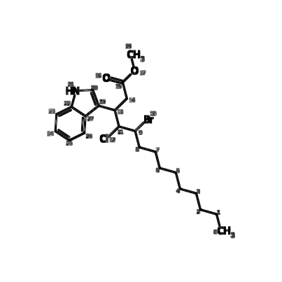 CCCCCCCCCC(Br)C(Cl)C(CC(=O)OC)c1c[nH]c2ccccc12